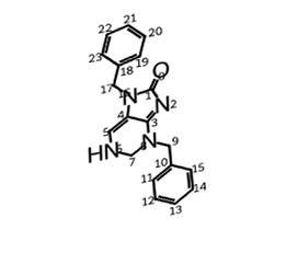 O=C1N=C2C(=CNCN2Cc2ccccc2)N1Cc1ccccc1